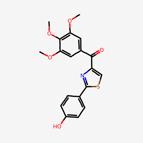 COc1cc(C(=O)c2csc(-c3ccc(O)cc3)n2)cc(OC)c1OC